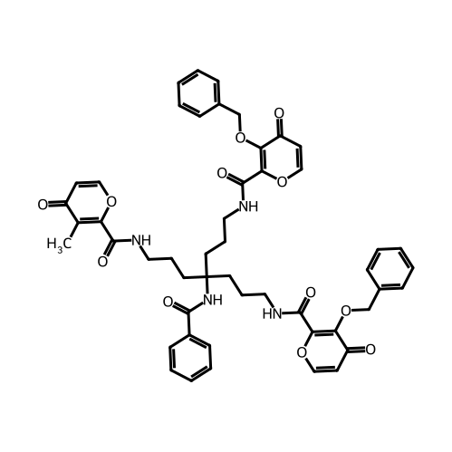 Cc1c(C(=O)NCCCC(CCCNC(=O)c2occc(=O)c2OCc2ccccc2)(CCCNC(=O)c2occc(=O)c2OCc2ccccc2)NC(=O)c2ccccc2)occc1=O